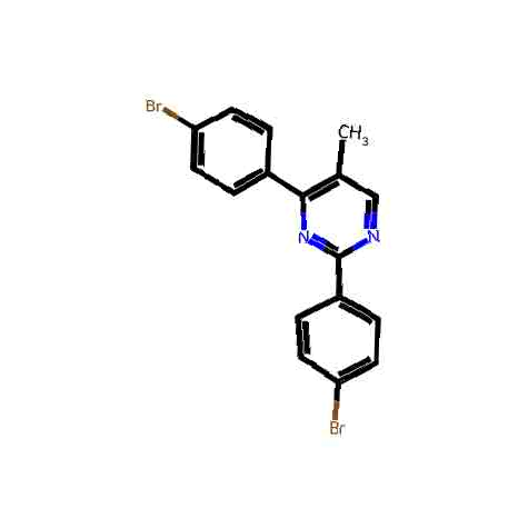 Cc1cnc(-c2ccc(Br)cc2)nc1-c1ccc(Br)cc1